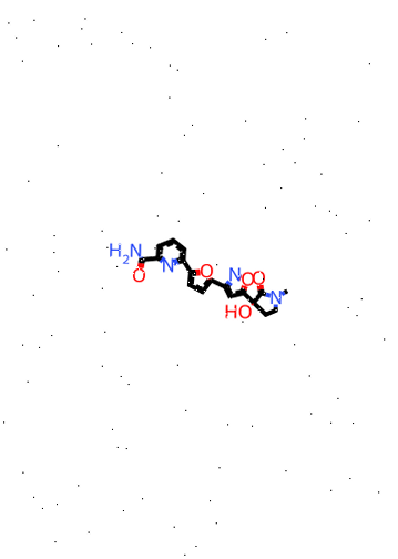 CN1CC[C@@](O)(c2cc(-c3ccc(-c4cccc(C(N)=O)n4)o3)no2)C1=O